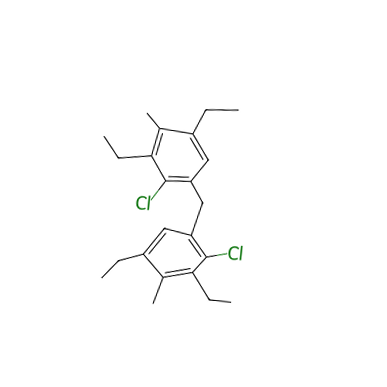 CCc1cc(Cc2cc(CC)c(C)c(CC)c2Cl)c(Cl)c(CC)c1C